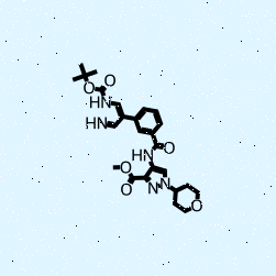 COC(=O)c1nn(C2CCOCC2)cc1NC(=O)c1cccc(/C(C=N)=C/NC(=O)OC(C)(C)C)c1